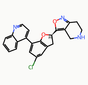 Clc1cc2c(c(-c3ccnc4ccccc34)c1)O[C@@H](c1onc3c1CNCC3)C2